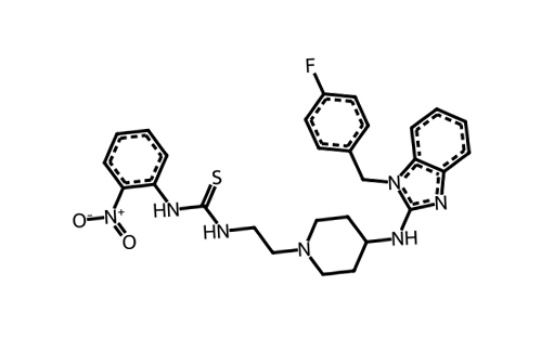 O=[N+]([O-])c1ccccc1NC(=S)NCCN1CCC(Nc2nc3ccccc3n2Cc2ccc(F)cc2)CC1